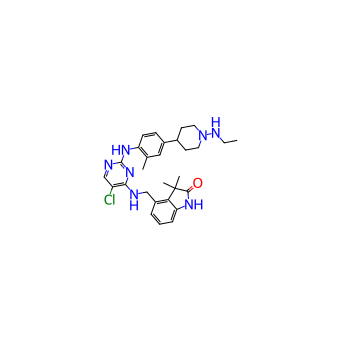 CCNN1CCC(c2ccc(Nc3ncc(Cl)c(NCc4cccc5c4C(C)(C)C(=O)N5)n3)c(C)c2)CC1